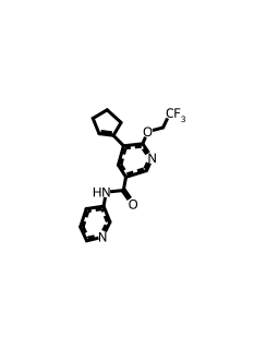 O=C(Nc1cccnc1)c1cnc(OCC(F)(F)F)c(C2=CCCC2)c1